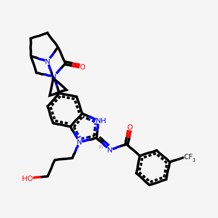 O=C(/N=c1\[nH]c2cc(N3CC4CCC(C3=O)N4C3CC3)ccc2n1CCCO)c1cccc(C(F)(F)F)c1